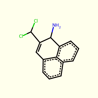 NC1C(C(Cl)Cl)=Cc2cccc3cccc1c23